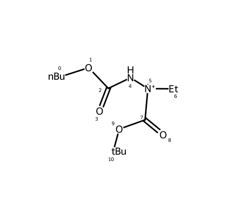 CCCCOC(=O)N[N+](CC)C(=O)OC(C)(C)C